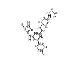 Cc1cc(Nc2cc(N3CCN(C)CC3)nc(/C=C/c3ccc(N4CCCC4)cc3)n2)n[nH]1